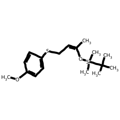 COc1ccc(SCC=C(C)O[Si](C)(C)C(C)(C)C)cc1